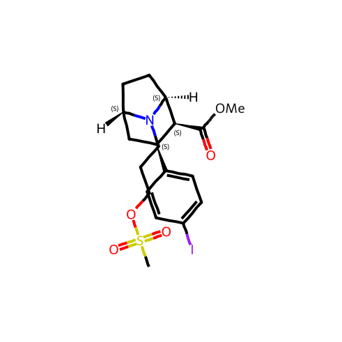 COC(=O)[C@H]1[C@@H](c2ccc(I)cc2)C[C@@H]2CC[C@@H]1N2CCCOS(C)(=O)=O